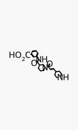 O=C(O)c1cccc(NC(=O)C2CCCN(C(=O)C=CC3CCNCC3)C2)c1